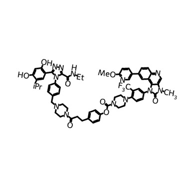 CCNC(=O)c1nnc(-c2cc(C(C)C)c(O)cc2O)n1-c1ccc(CN2CCN(C(=O)CCc3ccc(OC(=O)N4CCN(c5ccc(-n6c(=O)n(C)c7cnc8ccc(-c9ccc(OC)nc9)cc8c76)cc5C(F)(F)F)CC4)cc3)CC2)cc1